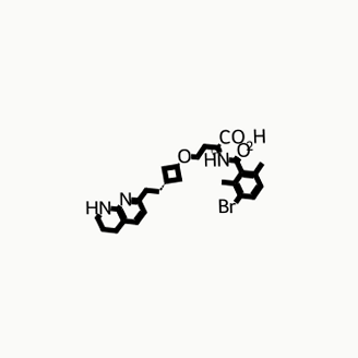 Cc1ccc(Br)c(C)c1C(=O)N[C@@H](CCO[C@H]1C[C@@H](CCc2ccc3c(n2)NCCC3)C1)C(=O)O